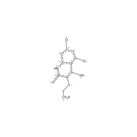 O=C(O)CSc1c(O)c2c(Cl)cc(Cl)cc2[nH]c1=O